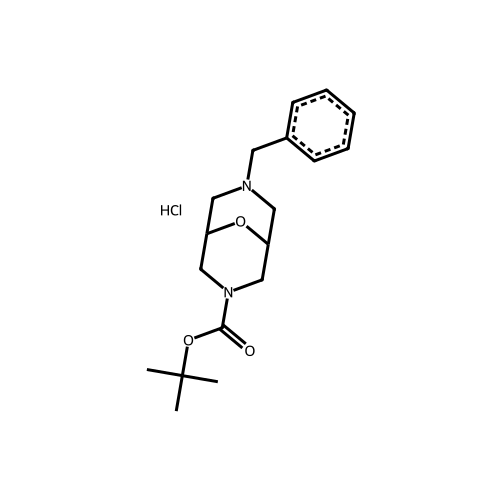 CC(C)(C)OC(=O)N1CC2CN(Cc3ccccc3)CC(C1)O2.Cl